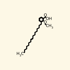 CCCCCCCCC=CCCCCCCCCc1cccc(C(=O)O)c1OCC